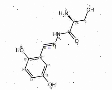 N[C@@H](CO)C(=O)N/N=C/c1cc(O)ccc1O